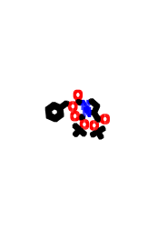 CC(C)(C)OC(=O)C1CCN(C(=O)OCc2ccccc2)N1C(=O)OC(C)(C)C